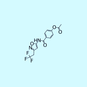 CC(=O)Oc1ccc(C(=O)Nc2cc(CC(F)(F)F)no2)cc1